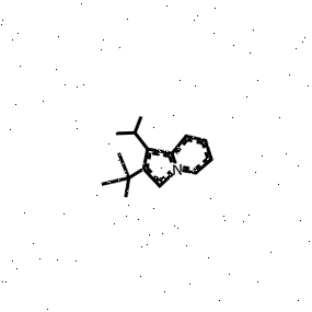 CC(C)c1c(C(C)(C)C)cn2ccccc12